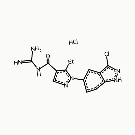 CCc1c(C(=O)NC(=N)N)cnn1-c1ccc2[nH]nc(Cl)c2c1.Cl